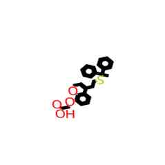 CC(SCCC1=CCOc2c(OCC(=O)O)cccc21)(c1ccccc1)c1ccccc1